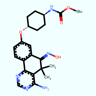 CC(C)(C)OC(=O)N[C@H]1CC[C@H](Oc2ccc3c(c2)C(=NO)C(C)(C)c2c(N)ncnc2-3)CC1